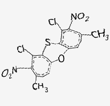 Cc1cc2c(c(Cl)c1[N+](=O)[O-])Sc1c(cc(C)c([N+](=O)[O-])c1Cl)O2